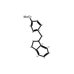 COc1ccc(CC2CCc3ccccc32)cc1